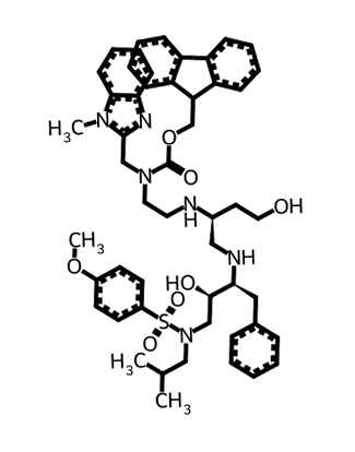 COc1ccc(S(=O)(=O)N(CC(C)C)C[C@@H](O)[C@H](Cc2ccccc2)NC[C@H](CCO)NCCN(Cc2nc3ccccc3n2C)C(=O)OCC2c3ccccc3-c3ccccc32)cc1